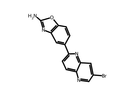 Nc1nc2cc(-c3ccc4ncc(Br)cc4n3)ccc2o1